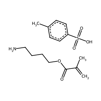 C=C(C)C(=O)OCCCCN.Cc1ccc(S(=O)(=O)O)cc1